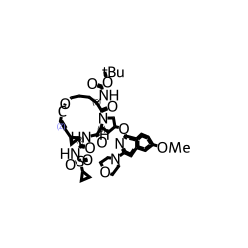 COc1ccc2c(OC3C[C@H]4C(=O)N[C@]5(C(=O)NS(=O)(=O)C6CC6)CC5/C=C\COCCC[C@H](NC(=O)OC(C)(C)C)C(=O)N4C3)nc(N3CCOCC3)cc2c1